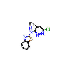 CC(C)c1cc(Cl)nnc1Nc1nc2ccccc2s1